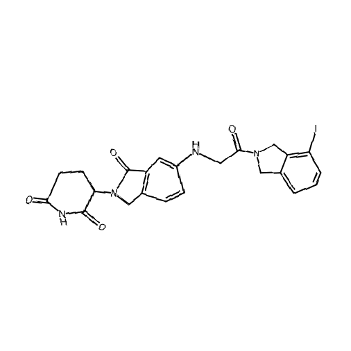 O=C1CCC(N2Cc3ccc(NCC(=O)N4Cc5cccc(I)c5C4)cc3C2=O)C(=O)N1